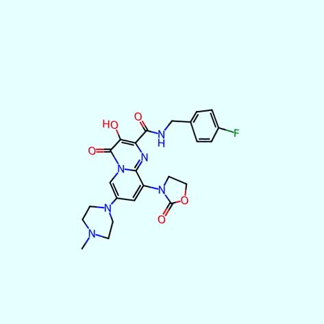 CN1CCN(c2cc(N3CCOC3=O)c3nc(C(=O)NCc4ccc(F)cc4)c(O)c(=O)n3c2)CC1